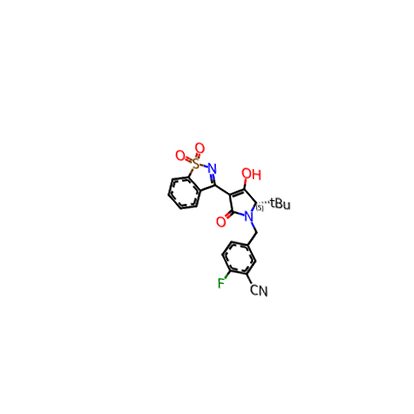 CC(C)(C)[C@H]1C(O)=C(C2=NS(=O)(=O)c3ccccc32)C(=O)N1Cc1ccc(F)c(C#N)c1